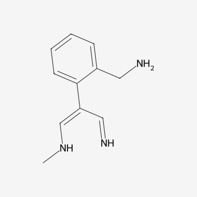 CN/C=C(\C=N)c1ccccc1CN